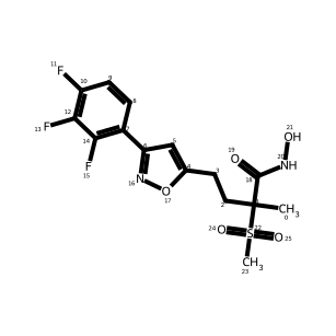 CC(CCc1cc(-c2ccc(F)c(F)c2F)no1)(C(=O)NO)S(C)(=O)=O